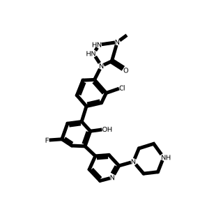 CN1NNN(c2ccc(-c3cc(F)cc(-c4ccnc(N5CCNCC5)c4)c3O)cc2Cl)C1=O